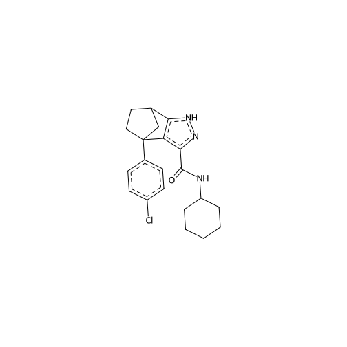 O=C(NC1CCCCC1)c1n[nH]c2c1C1(c3ccc(Cl)cc3)CCC2C1